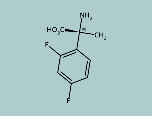 C[C@](N)(C(=O)O)c1ccc(F)cc1F